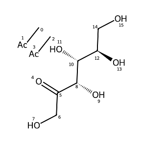 CC(C)=O.CC(C)=O.O=C(CO)[C@@H](O)[C@H](O)[C@H](O)CO